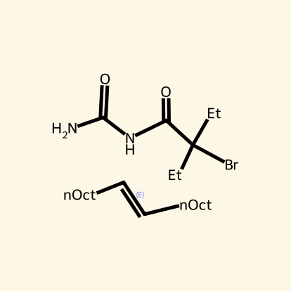 CCC(Br)(CC)C(=O)NC(N)=O.CCCCCCCC/C=C/CCCCCCCC